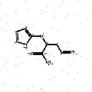 C=CCC(Oc1ccc[nH]1)C(N)=O